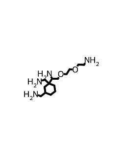 NCCOCCOCC(N)C1(CN)CCCC(CN)C1